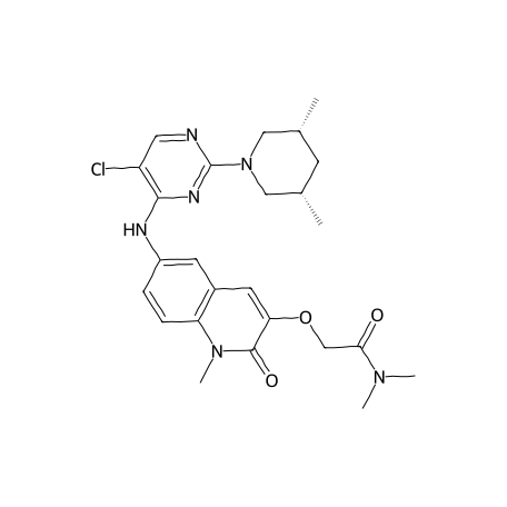 C[C@@H]1C[C@H](C)CN(c2ncc(Cl)c(Nc3ccc4c(c3)cc(OCC(=O)N(C)C)c(=O)n4C)n2)C1